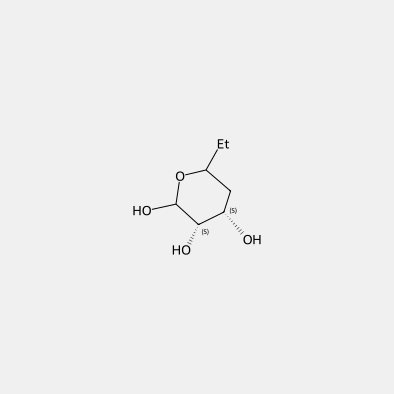 CCC1C[C@H](O)[C@H](O)C(O)O1